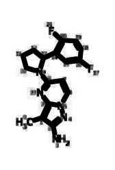 Cc1c(N)nn2ccc(N3CCCC3c3cc(F)ccc3F)nc12